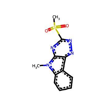 Cn1c2ccccc2c2nnc(S(C)(=O)=O)nc21